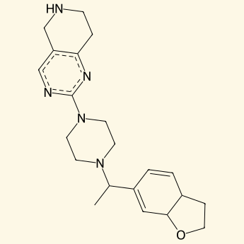 CC(C1=CC2OCCC2C=C1)N1CCN(c2ncc3c(n2)CCNC3)CC1